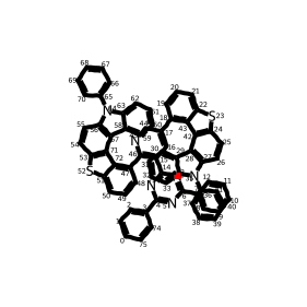 c1ccc(-c2nc(-c3ccccc3)nc(-c3cc(-c4cccc5sc6ccc7c(c8ccccc8n7-c7ccccc7)c6c45)cnc3-c3cccc4sc5ccc6c(c7ccccc7n6-c6ccccc6)c5c34)n2)cc1